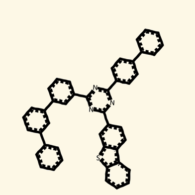 c1ccc(-c2ccc(-c3nc(-c4cccc(-c5cccc(-c6ccccc6)c5)c4)nc(-c4ccc5c(c4)sc4ccccc45)n3)cc2)cc1